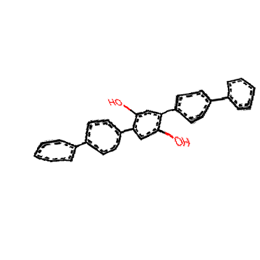 Oc1cc(-c2ccc(-c3ccccc3)cc2)c(O)cc1-c1ccc(-c2ccccc2)cc1